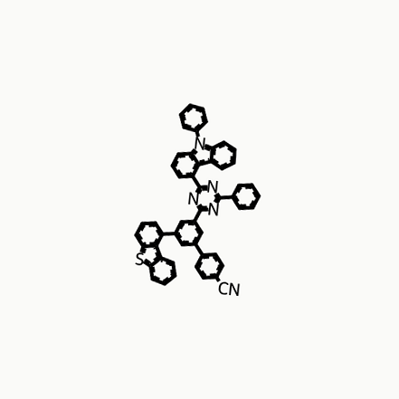 N#Cc1ccc(-c2cc(-c3nc(-c4ccccc4)nc(-c4cccc5c4c4ccccc4n5-c4ccccc4)n3)cc(-c3cccc4sc5ccccc5c34)c2)cc1